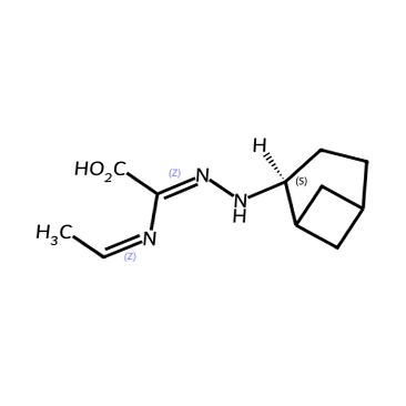 C/C=N\C(=N/N[C@H]1CCC2CC1C2)C(=O)O